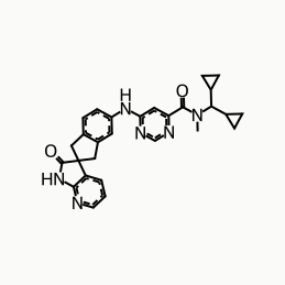 CN(C(=O)c1cc(Nc2ccc3c(c2)CC2(C3)C(=O)Nc3ncccc32)ncn1)C(C1CC1)C1CC1